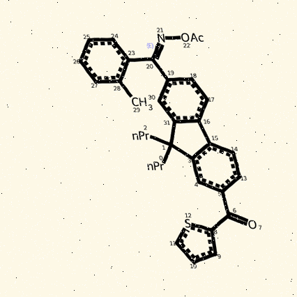 CCCC1(CCC)c2cc(C(=O)c3cccs3)ccc2-c2ccc(/C(=N\OC(C)=O)c3ccccc3C)cc21